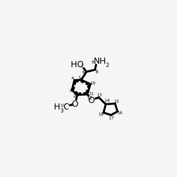 COc1ccc(C(O)CN)cc1OCC1CCCC1